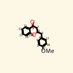 COc1ccc(CC2CC(=O)c3ccccc3O2)cc1